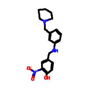 O=[N+]([O-])c1cc(CNc2cccc(CN3CCCCC3)c2)ccc1O